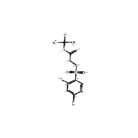 CC(C)(C)OC(=O)NNS(=O)(=O)c1ccc(F)cc1F